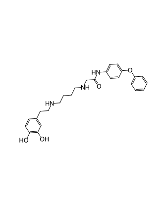 O=C(CNCCCCNCCc1ccc(O)c(O)c1)Nc1ccc(Oc2ccccc2)cc1